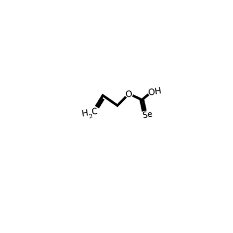 C=CCOC(O)=[Se]